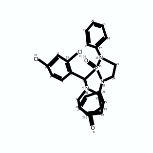 O=C1CCN(C(c2ccc(Cl)cc2Cl)P2(=O)N(c3ccccc3)CCN2c2ccccc2)CC1